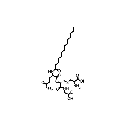 CCCCCCCCCCCCCC(=O)N[C@H](CCC(N)=O)C(=O)O[C@H](CSC[C@H](N)C(=O)O)C(=O)NCC(=O)O